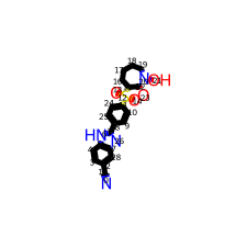 N#Cc1ccc2[nH]c(-c3ccc(S(=O)(=O)C4CCCCN(O)C4=O)cc3)nc2c1